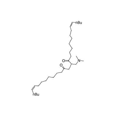 CCCC/C=C\CCCCCCCC(=O)CC(CN(C)C)C(=O)CCCCCCC/C=C\CCCC